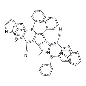 Cc1ccccc1-c1c2/c(=C(\C#N)c3nc4cccnc4s3)n(B(c3ccccc3)c3ccccc3)c(C)c2/c(=C(\C#N)c2nc3cccnc3s2)n1B(c1ccccc1)c1ccccc1